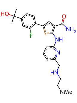 CNCCNCc1cccc(Nc2sc(-c3ccc(C(C)(C)O)cc3F)cc2C(N)=O)n1